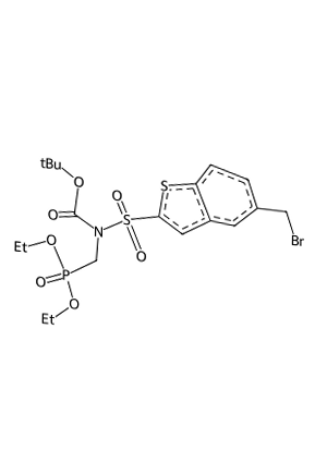 CCOP(=O)(CN(C(=O)OC(C)(C)C)S(=O)(=O)c1cc2cc(CBr)ccc2s1)OCC